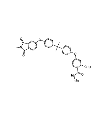 CN1C(=O)c2ccc(Oc3ccc(C(C)(C)c4ccc(Oc5ccc(C(=O)NC(C)(C)C)c(C=O)c5)cc4)cc3)cc2C1=O